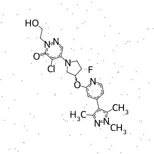 Cc1nn(C)c(C)c1-c1ccnc(O[C@H]2CN(c3cnn(CCO)c(=O)c3Cl)C[C@@H]2F)c1